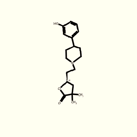 CC1(C)C[C@H](CCN2CCC(c3cccc(O)c3)CC2)OC1=O